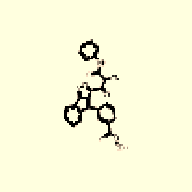 CC(C)(C)OC(=O)C1=CC(C2=C3C(C(=O)C(C#N)C(=O)Nc4ccccc4)=NN=C3c3ccccc32)C=CC1